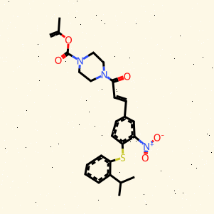 C=C(C)OC(=O)N1CCN(C(=O)/C=C/c2ccc(Sc3ccccc3C(C)C)c([N+](=O)[O-])c2)CC1